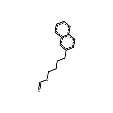 O=[C]OCCCCc1ccc2ccccc2c1